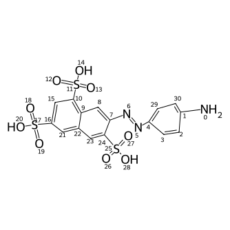 Nc1ccc(N=Nc2cc3c(S(=O)(=O)O)cc(S(=O)(=O)O)cc3cc2S(=O)(=O)O)cc1